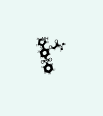 CN(C)C(=O)COc1cc(S(=O)(=O)c2ccccc2)ccc1C1CCNC1